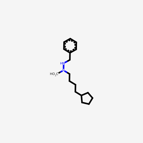 O=C(O)N(CCCCC1CCCC1)NCc1ccccc1